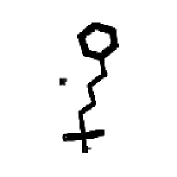 O=S(=O)([O-])CCCOc1ccccc1.[K+]